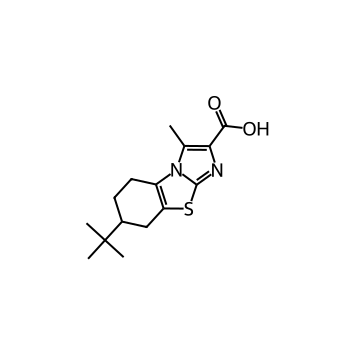 Cc1c(C(=O)O)nc2sc3c(n12)CCC(C(C)(C)C)C3